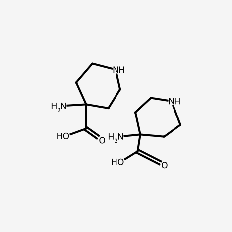 NC1(C(=O)O)CCNCC1.NC1(C(=O)O)CCNCC1